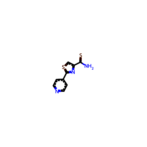 NC(=S)c1csc(-c2ccncc2)n1